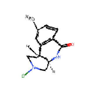 COc1ccc2c(c1)[C@H]1CN(Cl)C[C@@H]1NC2=O